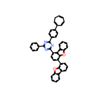 C1=CCC=C(c2ccc(-c3nc(-c4ccccc4)nc(-c4ccc(-c5cccc6c5oc5ccccc56)c5oc6ccccc6c45)n3)cc2)C=C1